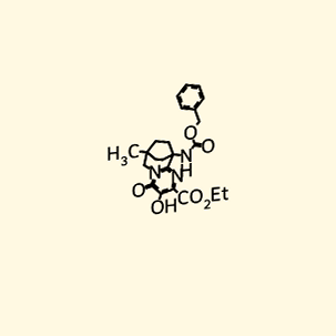 CCOC(=O)c1nc2n(c(=O)c1O)CC1(C)CCC2(NC(=O)OCc2ccccc2)CC1